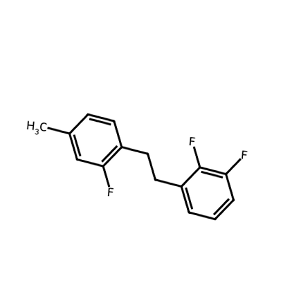 Cc1ccc(CCc2cccc(F)c2F)c(F)c1